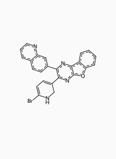 BrC1=CC=C(c2nc3oc4ccccc4c3nc2-c2ccc3cccnc3c2)CN1